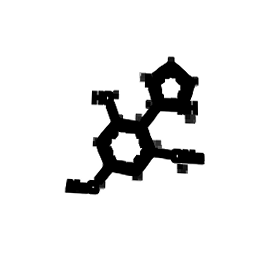 COc1cc(O)c(-c2ncc[nH]2)c(OC)c1